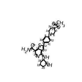 CS(=O)(=O)N1CCN(c2ccc(-c3cc4c(N[C@H]5CCCNC5)ncc(C(N)=O)c4s3)cc2)CC1